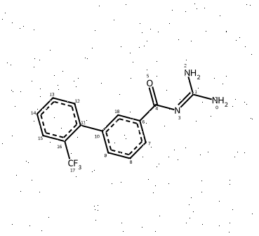 NC(N)=NC(=O)c1cccc(-c2ccccc2C(F)(F)F)c1